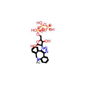 CC(=O)N1Cc2ccccc2-c2c(nnn2C2C(O)OC(COP(=O)(O)OP(=O)(O)OP(=O)(O)O)C2O)-c2ccccc21